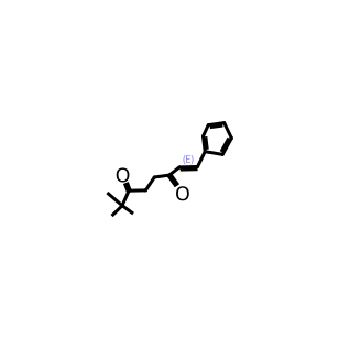 CC(C)(C)C(=O)CCC(=O)/C=C/c1ccccc1